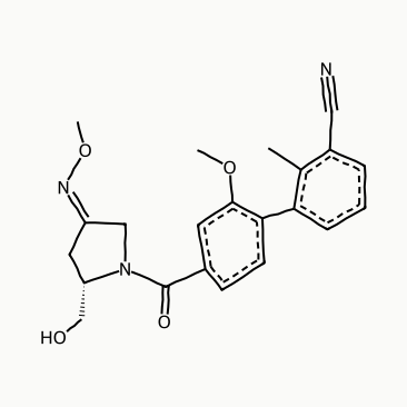 CO/N=C1/C[C@@H](CO)N(C(=O)c2ccc(-c3cccc(C#N)c3C)c(OC)c2)C1